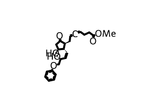 COC(=O)CCC=C=CC[C@@H]1C(=O)C[C@H](O)[C@H]1/C=C\[C@@H](O)COc1ccccc1